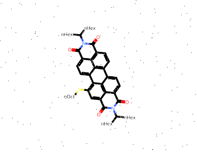 CCCCCCCCSc1cc2c3c(ccc4c5ccc6c7c(ccc(c1c34)c75)C(=O)N(C(CCCCCC)CCCCCC)C6=O)C(=O)N(C(CCCCCC)CCCCCC)C2=O